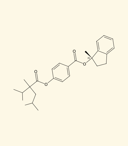 CC(C)CC(C)(C(=O)Oc1ccc(C(=O)O[C@@]2(C)CCc3ccccc32)cc1)C(C)C